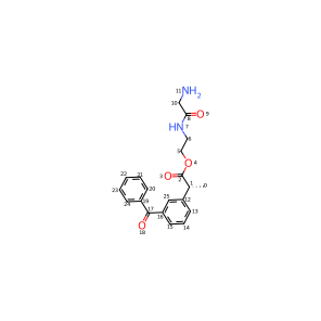 C[C@@H](C(=O)OCCNC(=O)CN)c1cccc(C(=O)c2ccccc2)c1